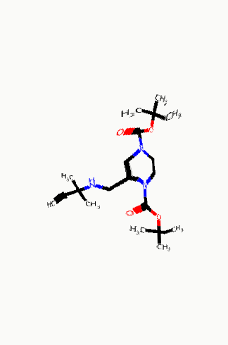 C#CC(C)(C)NCC1CN(C(=O)OC(C)(C)C)CCN1C(=O)OC(C)(C)C